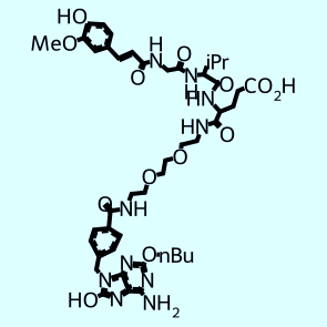 CCCCOc1nc(N)c2nc(O)n(Cc3ccc(C(=O)NCCOCCOCCNC(=O)C(CCC(=O)O)NC(=O)C(NC(=O)CNC(=O)/C=C/c4ccc(O)c(OC)c4)C(C)C)cc3)c2n1